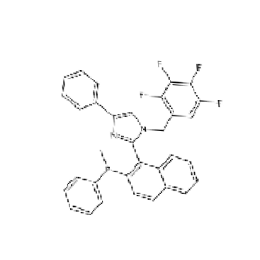 CP(c1ccccc1)c1ccc2ccccc2c1-c1nc(-c2ccccc2)cn1Cc1cc(F)c(F)c(F)c1F